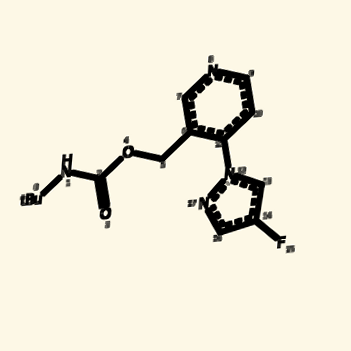 CC(C)(C)NC(=O)OCc1cnccc1-n1cc(F)cn1